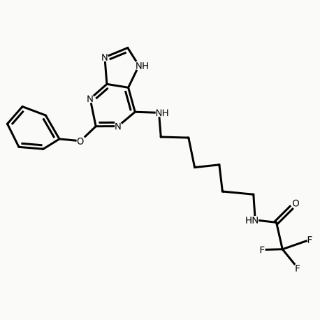 O=C(NCCCCCCNc1nc(Oc2ccccc2)nc2nc[nH]c12)C(F)(F)F